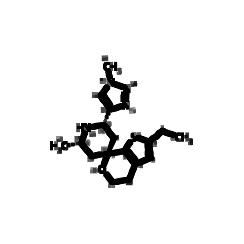 CCc1cc2c(s1)[C@]1(C[C@@H](c3cn(C)nn3)N[C@@H](C)C1)OCC2